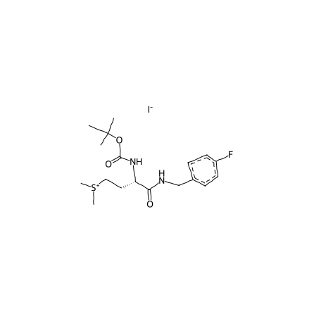 C[S+](C)CC[C@H](NC(=O)OC(C)(C)C)C(=O)NCc1ccc(F)cc1.[I-]